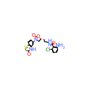 Nc1cccc(Cl)c1C(=O)NCCC[C@@H]1CN(c2ccc3c(c2)NC(=O)CS3)C(=O)O1